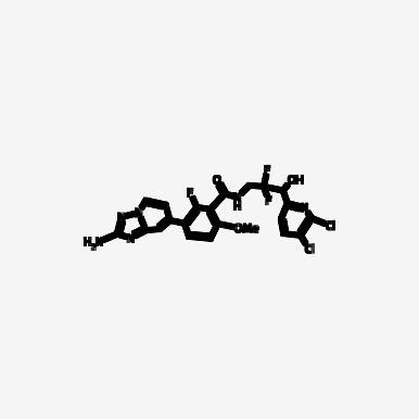 COc1ccc(-c2ccn3nc(N)nc3c2)c(F)c1C(=O)NCC(F)(F)C(O)c1ccc(Cl)c(Cl)n1